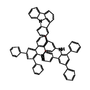 c1ccc(-c2cc(-c3ccccc3)c(Nc3cc(Nc4c(-c5ccccc5)cc(-c5ccccc5)cc4-c4ccccc4)cc(-c4ccc5c(c4)c4cccc6c7ccccc7n5c64)c3)c(-c3ccccc3)c2)cc1